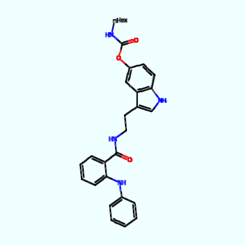 CCCCCCNC(=O)Oc1ccc2[nH]cc(CCNC(=O)c3ccccc3Nc3ccccc3)c2c1